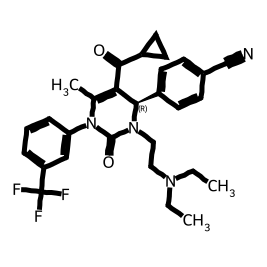 CCN(CC)CCN1C(=O)N(c2cccc(C(F)(F)F)c2)C(C)=C(C(=O)C2CC2)[C@H]1c1ccc(C#N)cc1